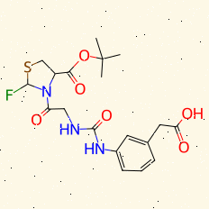 CC(C)(C)OC(=O)C1CSC(F)N1C(=O)CNC(=O)Nc1cccc(CC(=O)O)c1